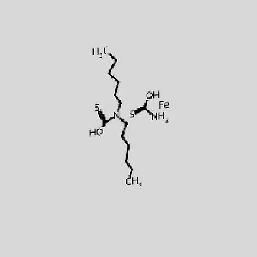 CCCCCCN(CCCCCC)C(O)=S.NC(O)=S.[Fe]